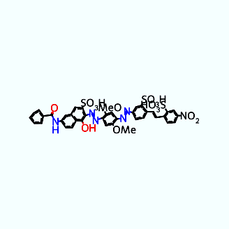 COc1cc(N=Nc2c(S(=O)(=O)O)cc3cc(NC(=O)c4ccccc4)ccc3c2O)c(OC)cc1N=Nc1ccc(C=Cc2ccc([N+](=O)[O-])cc2S(=O)(=O)O)c(S(=O)(=O)O)c1